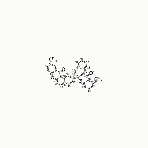 O=c1c2cc(C(F)(F)F)ccc2oc2ccc3ccc(-c4cc5ccccc5c5c(=O)c6c(C(F)(F)F)cccc6oc45)cc3c12